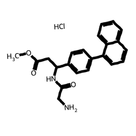 COC(=O)CC(NC(=O)CN)c1ccc(-c2cccc3ccccc23)cc1.Cl